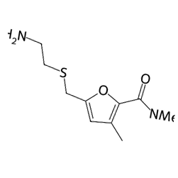 CNC(=O)c1oc(CSCCN)cc1C